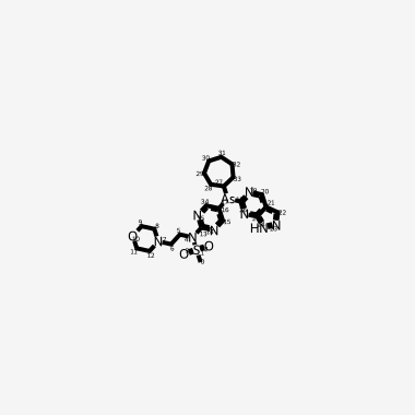 CS(=O)(=O)N(CCN1CCOCC1)c1ncc([As](c2ncc3cn[nH]c3n2)C2CCCCCC2)cn1